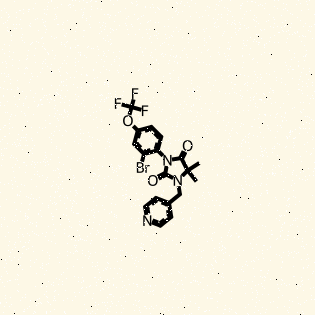 CC1(C)C(=O)N(c2ccc(OC(F)(F)F)cc2Br)C(=O)N1Cc1ccncc1